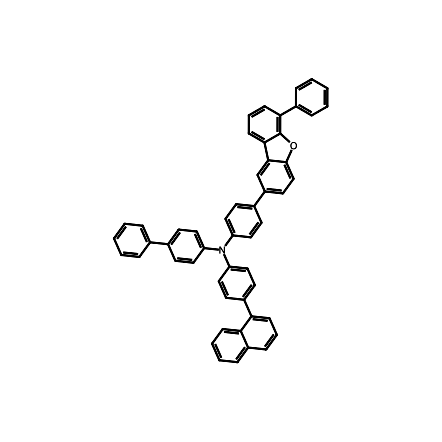 c1ccc(-c2ccc(N(c3ccc(-c4ccc5oc6c(-c7ccccc7)cccc6c5c4)cc3)c3ccc(-c4cccc5ccccc45)cc3)cc2)cc1